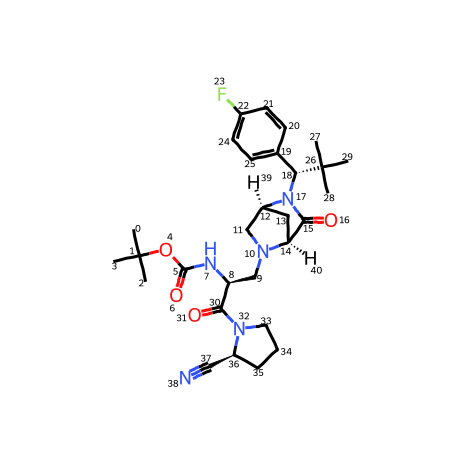 CC(C)(C)OC(=O)N[C@@H](CN1C[C@@H]2C[C@H]1C(=O)N2[C@H](c1ccc(F)cc1)C(C)(C)C)C(=O)N1CCC[C@H]1C#N